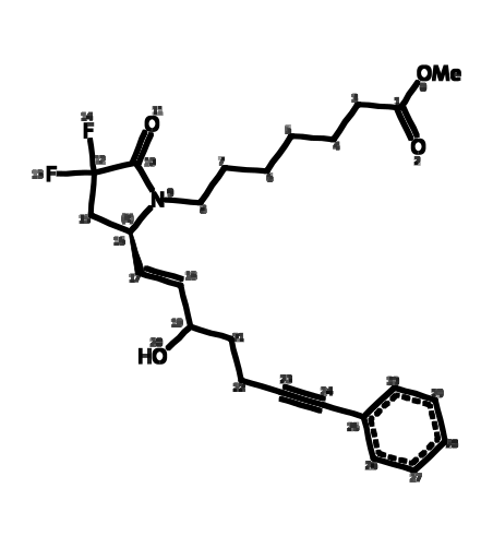 COC(=O)CCCCCCN1C(=O)C(F)(F)C[C@@H]1C=CC(O)CCC#Cc1ccccc1